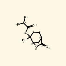 CC1(OC(=O)C(F)F)CCC2CC1OC2=O